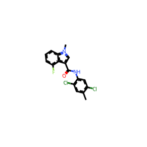 Cc1cc(Cl)c(NC(=O)c2cn(C)c3cccc(F)c23)cc1Cl